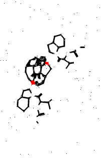 COC(=O)NC(C(=O)N1C2CCCCC2C[C@H]1c1nc(-c2cc3ccc2CCc2ccc(c(-c4c[nH]c([C@@H]5CC6CCCCC6N5C(=O)C(NC(=O)OC)C(C)C)n4)c2)CC3)c[nH]1)C(C)C